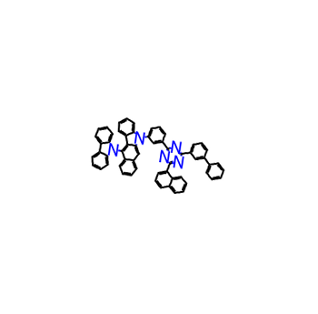 c1ccc(-c2cccc(-c3nc(-c4cccc(-n5c6ccccc6c6c(-n7c8ccccc8c8ccccc87)c7ccccc7cc65)c4)nc(-c4cccc5ccccc45)n3)c2)cc1